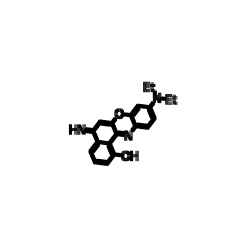 CCN(CC)c1ccc2nc3c4c(O)cccc4c(=N)cc-3oc2c1